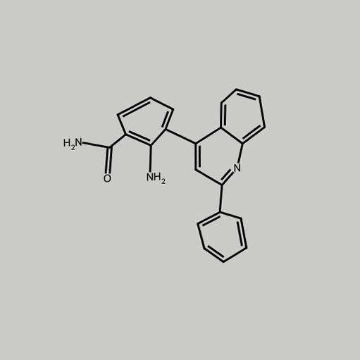 NC(=O)c1cccc(-c2cc(-c3ccccc3)nc3ccccc23)c1N